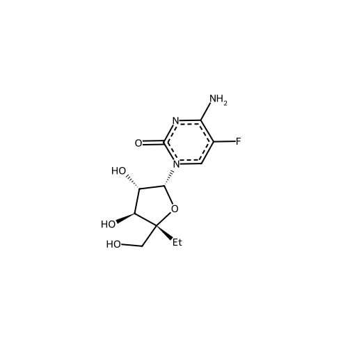 CC[C@]1(CO)O[C@@H](n2cc(F)c(N)nc2=O)[C@@H](O)[C@@H]1O